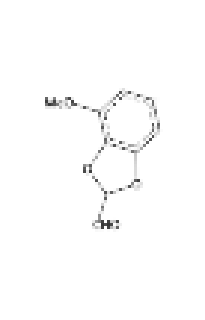 COc1c[c]cc2c1OC(C=O)O2